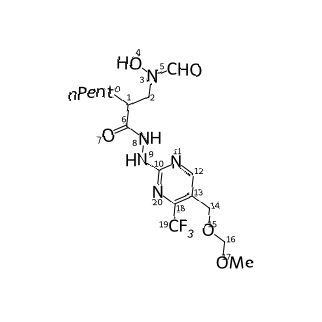 CCCCCC(CN(O)C=O)C(=O)NNc1ncc(COCOC)c(C(F)(F)F)n1